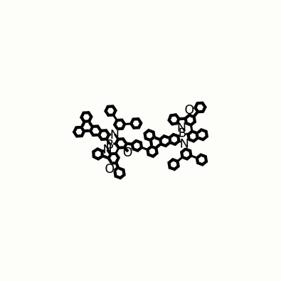 c1ccc(-c2cc(-c3ccccc3)cc(N3c4cc5cc6c(cc5cc4B4c5c3cc3ccccc3c5-c3cc5c7ccccc7oc5c5c7ccccc7n4c35)c3ccccc3c3c(-c4ccc5c(c4)oc4c7c8c(cc45)N(c4cc(-c5ccccc5)cc(-c5ccccc5)c4)c4cc5cc9c%10ccccc%10c%10ccccc%10c9cc5cc4B8n4c5ccccc5c5c8oc9ccccc9c8cc-7c54)cccc63)c2)cc1